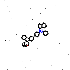 c1ccc(N(c2ccc(-c3ccc4c(c3)-c3ccccc3C43C4CC5CC(C4)CC3C5)cc2)c2cccc3ccccc23)cc1